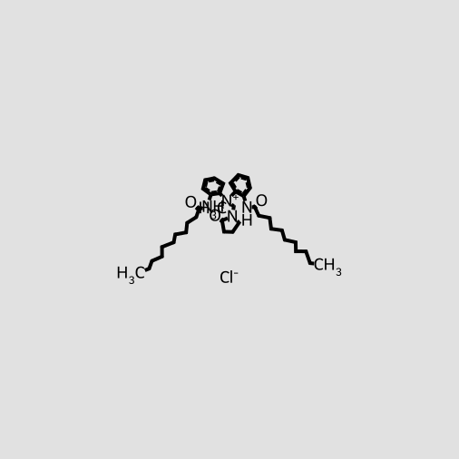 CCCCCCCCCCC(=O)Nc1ccccc1[N+](C)(CN1CCCC1=O)c1ccccc1NC(=O)CCCCCCCCCC.[Cl-]